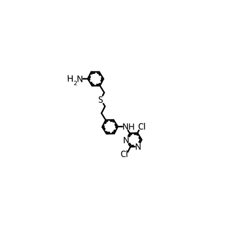 Nc1cccc(CSCCc2cccc(Nc3nc(Cl)ncc3Cl)c2)c1